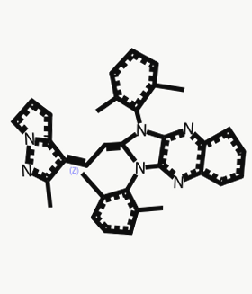 Cc1cccc(C)c1N1C(=C/C=c2/c(C)nn3cccc23)N(c2c(C)cccc2C)c2nc3ccccc3nc21